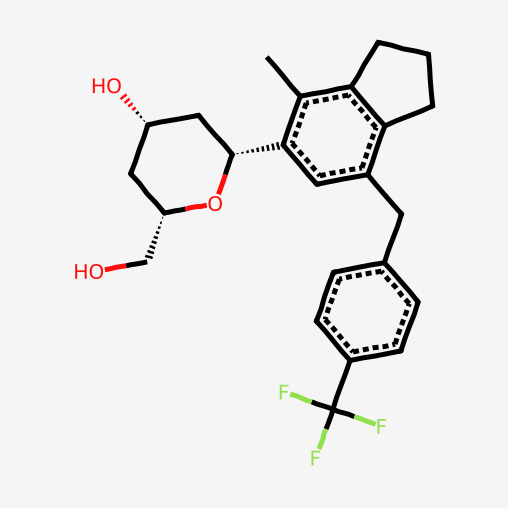 Cc1c([C@H]2C[C@@H](O)C[C@@H](CO)O2)cc(Cc2ccc(C(F)(F)F)cc2)c2c1CCC2